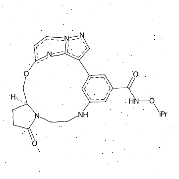 CC(C)ONC(=O)c1cc2cc(c1)-c1cnn3ccc(nc13)OC[C@@H]1CCC(=O)N1CCN2